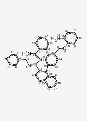 N/C(=N\C(=N/Cc1ccccc1)c1ccc2ccccc2c1-c1ccc(COc2ccccc2N)cc1)c1ccccc1